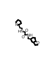 O=C(NCCc1ccccn1)C(=O)NCc1ccc2occc2c1